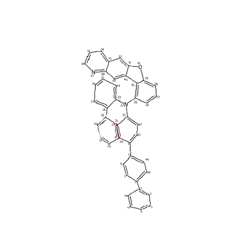 c1ccc(-c2ccc(-c3ccc(N(c4ccccc4-c4ccccc4)c4cccc5oc6cc7cccnc7cc6c45)cc3)cc2)cc1